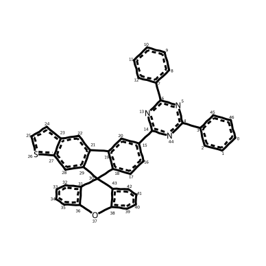 c1ccc(-c2nc(-c3ccccc3)nc(-c3ccc4c(c3)-c3cc5ccsc5cc3C43c4ccccc4Oc4ccccc43)n2)cc1